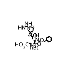 CCCCN(CC(=O)O)C(=O)[C@H](CC(=O)N(C)[C@H]1CCCN(C(=N)N)C1)NC(=O)OCc1ccccc1